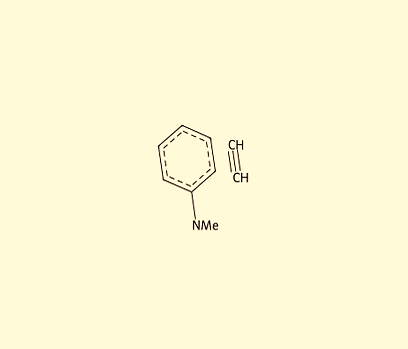 C#C.CNc1ccccc1